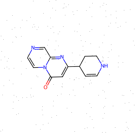 O=c1cc(C2C=CNCC2)nc2cnccn12